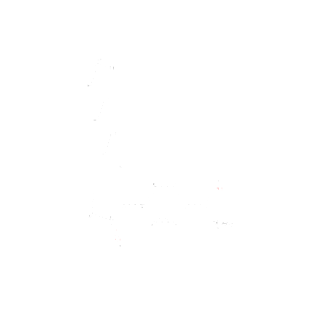 CCCCCC(O)c1ccc(C2C(=O)CC[C@@H]2CCCCCCC(=O)O)cc1